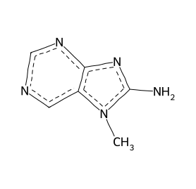 Cn1c(N)nc2ncncc21